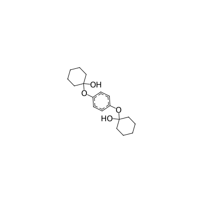 OC1(Oc2ccc(OC3(O)CCCCC3)cc2)CCCCC1